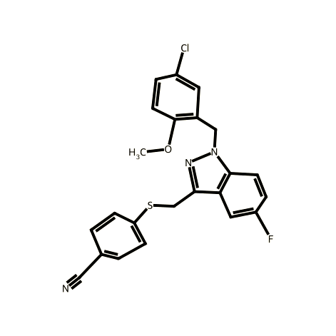 COc1ccc(Cl)cc1Cn1nc(CSc2ccc(C#N)cc2)c2cc(F)ccc21